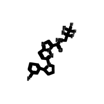 O=C(NCC(F)(F)C(F)(F)F)c1cnc2ccc(N3CCCC3c3cccc(F)c3)nn12